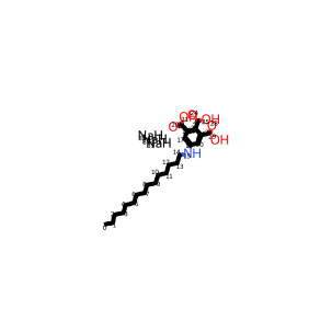 CCCCCCCCCCCCCCCNc1cc(C(=O)O)c(C(=O)O)c(C(=O)O)c1.[NaH].[NaH].[NaH]